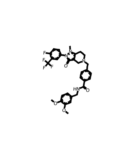 COc1ccc(CNC(=O)c2ccc(CN3CCc4c(c(=O)n(-c5ccc(F)c(C(F)(F)F)c5)n4C)C3)cc2)cc1OC